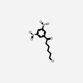 O=C(CCCCCCl)c1cc([N+](=O)[O-])cc([N+](=O)[O-])c1